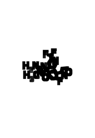 CN1C(=O)C(c2ccnc(C(F)F)c2)(c2ccc(F)c(-c3ccon3)c2)N=C1N